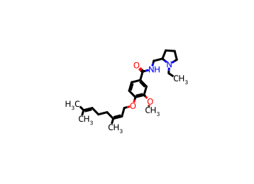 CCN1CCCC1CNC(=O)c1ccc(OCC=C(C)CCC=C(C)C)c(OC)c1